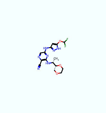 C[C@@H](Nc1nc(Nc2cc(OC(F)F)[nH]n2)cnc1C#N)[C@H]1COCCO1